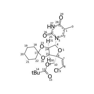 Cc1cn([C@@H]2O[C@](/C=C\Cl)(COC(=O)C(C)(C)C)[C@H]3OC4(CCCCC4)O[C@@H]23)c(=O)[nH]c1=O